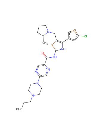 CC1CCCN1CC1=C(c2csc(Cl)c2)NC(NC(=O)c2cnc(N3CCN(CCC=O)CC3)cn2)S1